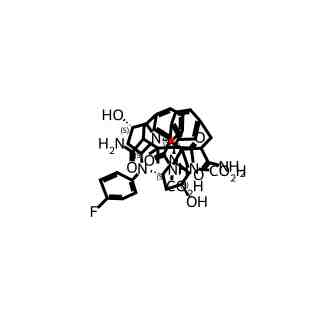 CC1(C)C(C(N)=O)Cc2ccc(cc2)[C@@]1(C(=O)NC(=O)O)N1C[C@@H](O)C[C@@H]1N(c1ccc(F)cc1)[C@H]1C[C@H](O)CN1[C@]1(C(=O)NC(=O)O)c2ccc(cc2)CC(C(N)=O)C1(C)C